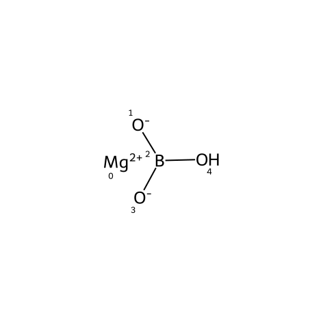 [Mg+2].[O-]B([O-])O